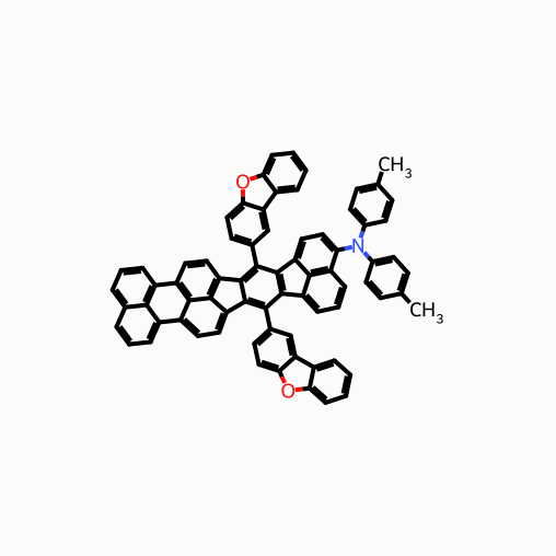 Cc1ccc(N(c2ccc(C)cc2)c2ccc3c4c(-c5ccc6oc7ccccc7c6c5)c5c6ccc7c8cccc9cccc(c%10ccc(c5c(-c5ccc%11oc%12ccccc%12c%11c5)c4c4cccc2c43)c6c%107)c98)cc1